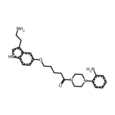 NCCc1c[nH]c2ccc(OCCCCC(=O)N3CCN(c4ccccc4N)CC3)cc12